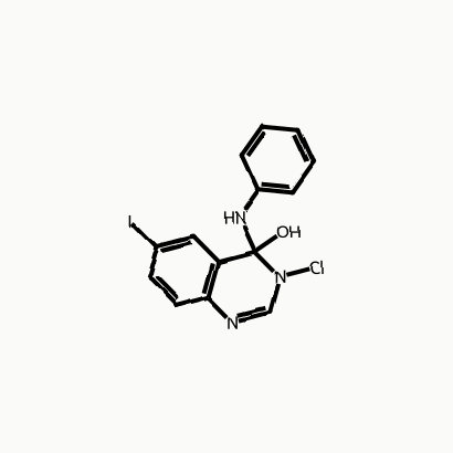 OC1(Nc2ccccc2)c2cc(I)ccc2N=CN1Cl